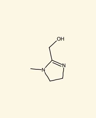 CN1CCN=C1CO